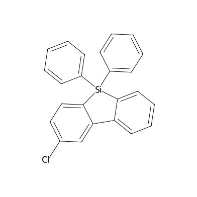 Clc1ccc2c(c1)-c1ccccc1[Si]2(c1ccccc1)c1ccccc1